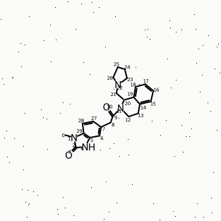 Cn1c(=O)[nH]c2cc(CC(=O)N3CCc4ccccc4C3CN3CCCC3)ccc21